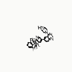 COc1ncc(-c2ccc3ncnc(N4CCNCC4)c3c2)cc1N(C)S(=O)(=O)c1c(F)cccc1F